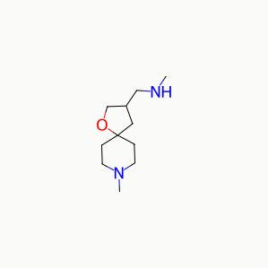 CNCC1COC2(CCN(C)CC2)C1